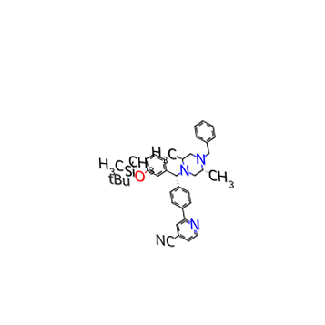 C[C@@H]1CN([C@H](c2ccc(-c3cc(C#N)ccn3)cc2)c2cccc(O[Si](C)(C)C(C)(C)C)c2)[C@@H](C)CN1Cc1ccccc1